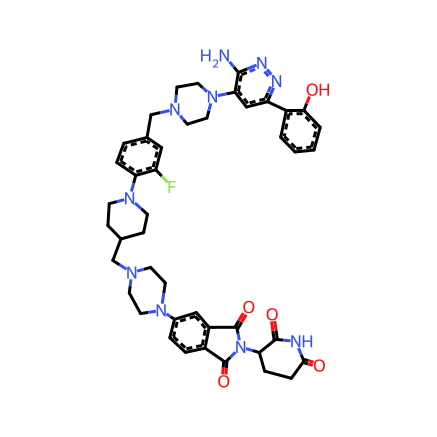 Nc1nnc(-c2ccccc2O)cc1N1CCN(Cc2ccc(N3CCC(CN4CCN(c5ccc6c(c5)C(=O)N(C5CCC(=O)NC5=O)C6=O)CC4)CC3)c(F)c2)CC1